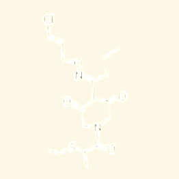 CCCC(=NOCC=CCl)C1C(=O)CN(C(=O)C(C)SCC)CC1=O